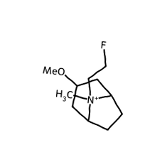 COC1CC2CCC(C1)[N+]2(C)CCF